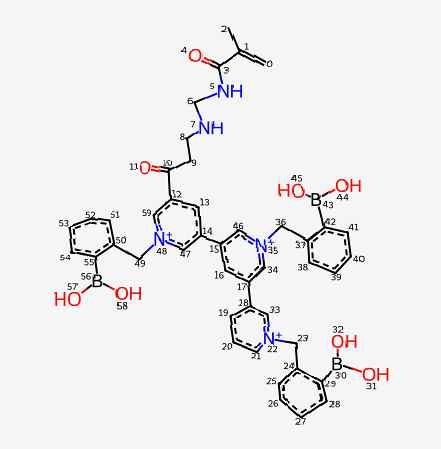 C=C(C)C(=O)NCNCCC(=O)c1cc(-c2cc(-c3ccc[n+](Cc4ccccc4B(O)O)c3)c[n+](Cc3ccccc3B(O)O)c2)c[n+](Cc2ccccc2B(O)O)c1